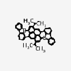 CC(C)c1cc2c3c(cc4c(C(C)C)cc5c6c(cc1c3c46)-c1cccc3c1B5c1ccccc1-3)-c1cccc3c1B2c1ccccc1-3